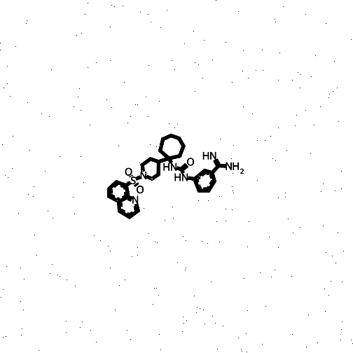 N=C(N)c1cccc(NC(=O)NC2(C3CCN(S(=O)(=O)c4cccc5cccnc45)CC3)CCCCCC2)c1